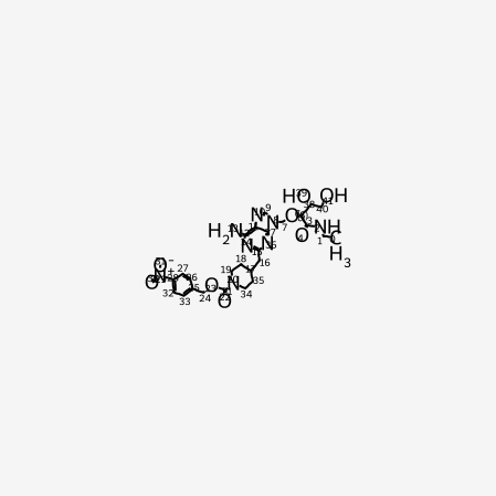 CCNC(=O)[C@@H](OCn1cnc2c(N)nc(CC3CCN(C(=O)OCc4ccc([N+](=O)[O-])cc4)CC3)nc21)C(O)CO